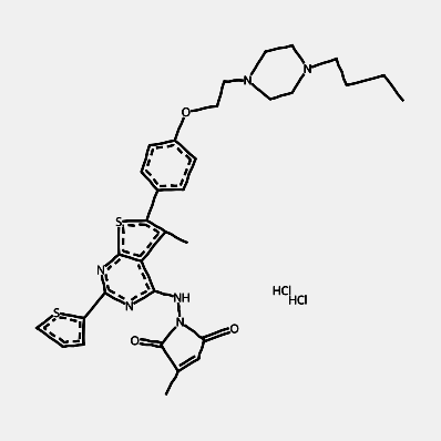 CCCCN1CCN(CCOc2ccc(-c3sc4nc(-c5cccs5)nc(NN5C(=O)C=C(C)C5=O)c4c3C)cc2)CC1.Cl.Cl